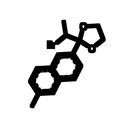 Cc1ccc2cc(C3(C(C)Br)OCCO3)ccc2c1